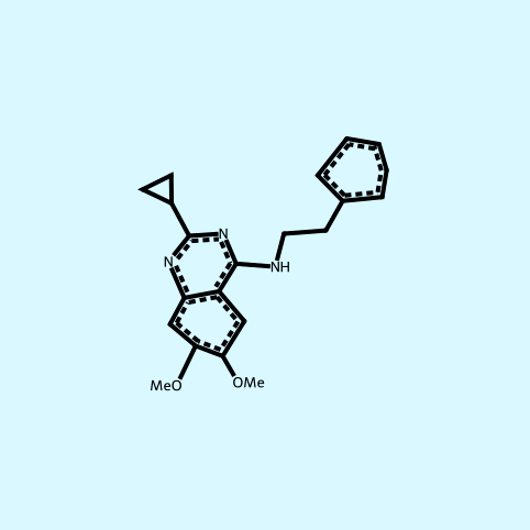 COc1cc2nc(C3CC3)nc(NCCc3ccccc3)c2cc1OC